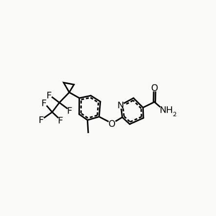 Cc1cc(C2(C(F)(F)C(F)(F)F)CC2)ccc1Oc1ccc(C(N)=O)cn1